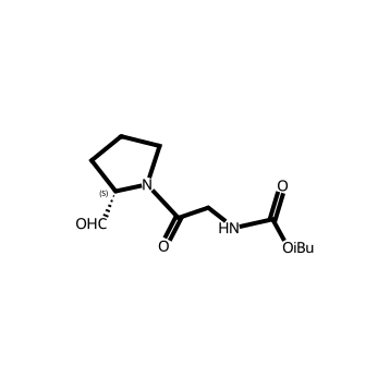 CC(C)COC(=O)NCC(=O)N1CCC[C@H]1C=O